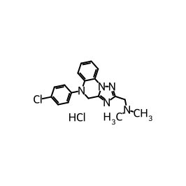 CN(C)Cc1nc2n(n1)-c1ccccc1N(c1ccc(Cl)cc1)C2.Cl